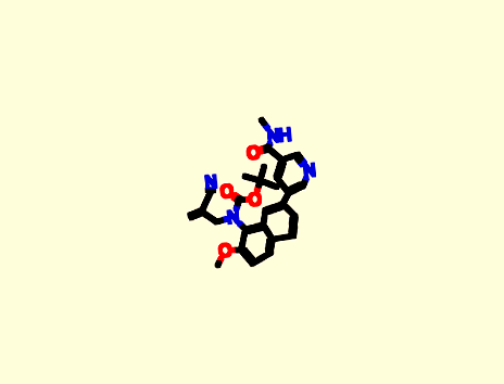 C=C(C#N)CN(C(=O)OC(C)(C)C)c1c(OC)ccc2ccc(-c3cncc(C(=O)NC)c3)cc12